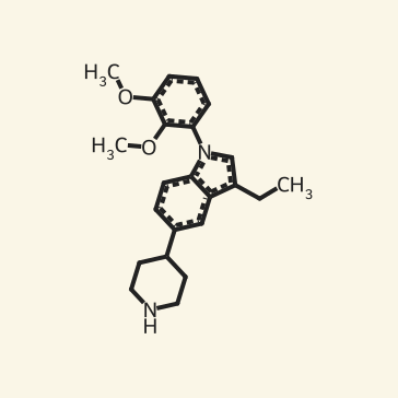 CCc1cn(-c2cccc(OC)c2OC)c2ccc(C3CCNCC3)cc12